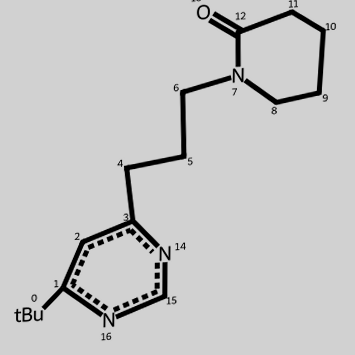 CC(C)(C)c1cc(CCCN2CCCCC2=O)ncn1